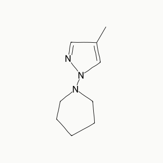 Cc1cnn(N2CCCCC2)c1